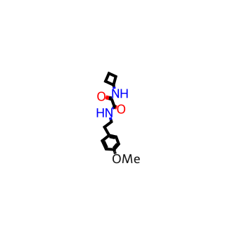 COc1ccc(CCNC(=O)C(=O)NC2CCC2)cc1